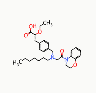 CCCCCCCN(CC(=O)N1CCOc2ccccc21)Cc1ccc(CC(OCC)C(=O)O)cc1